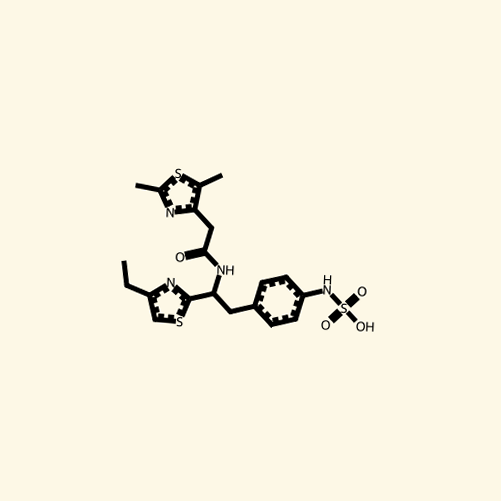 CCc1csc(C(Cc2[c]cc(NS(=O)(=O)O)cc2)NC(=O)Cc2nc(C)sc2C)n1